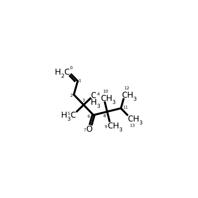 C=CCC(C)(C)C(=O)C(C)(C)C(C)C